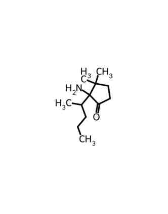 CCCC(C)C1(N)C(=O)CCC1(C)C